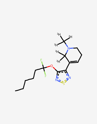 [2H]C([2H])([2H])N1CCC=C(c2nsnc2OC(F)(F)CCCCC)C1([2H])[2H]